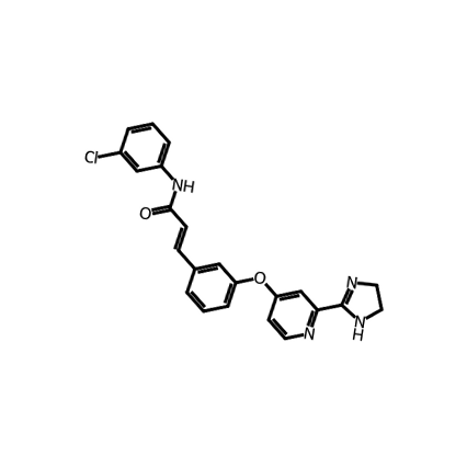 O=C(/C=C/c1cccc(Oc2ccnc(C3=NCCN3)c2)c1)Nc1cccc(Cl)c1